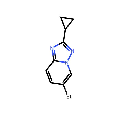 CCc1ccc2nc(C3CC3)nn2c1